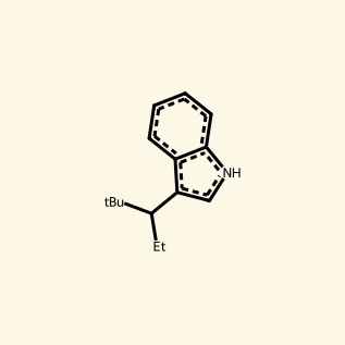 CCC(c1c[nH]c2ccccc12)C(C)(C)C